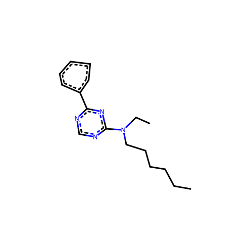 CCCCCCN(CC)c1ncnc(-c2ccccc2)n1